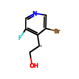 OC[CH]c1c(F)cncc1Br